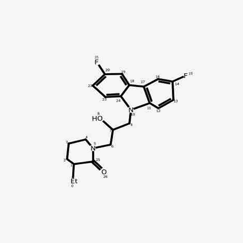 CCC1CCCN(CC(O)Cn2c3ccc(F)cc3c3cc(F)ccc32)C1=O